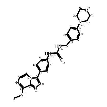 CNc1nccn2c(-c3ccc(NC(=O)NCc4ccc(N5CCOCC5)cc4)cc3)cnc12